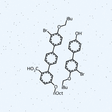 CCC(C)COc1ccc(-c2ccc(O)cc2)cc1Br.CCCCCCCCOc1ccc(C(=O)O)c(-c2ccc(-c3ccc(OCC(C)CC)c(Br)c3)cc2)c1